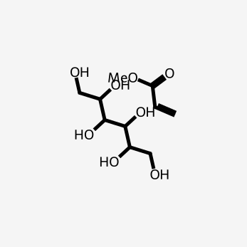 C=CC(=O)OC.OCC(O)C(O)C(O)C(O)CO